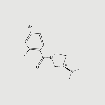 Cc1cc(Br)ccc1C(=O)N1CC[C@@H](N(C)C)C1